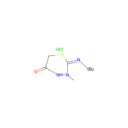 CN1NC(=O)CSC1=NC(C)(C)C.Cl